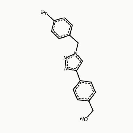 CC(C)c1ccc(Cn2cc(-c3ccc(CO)cc3)nn2)cc1